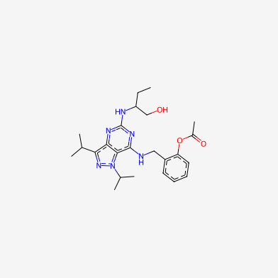 CCC(CO)Nc1nc(NCc2ccccc2OC(C)=O)c2c(n1)c(C(C)C)nn2C(C)C